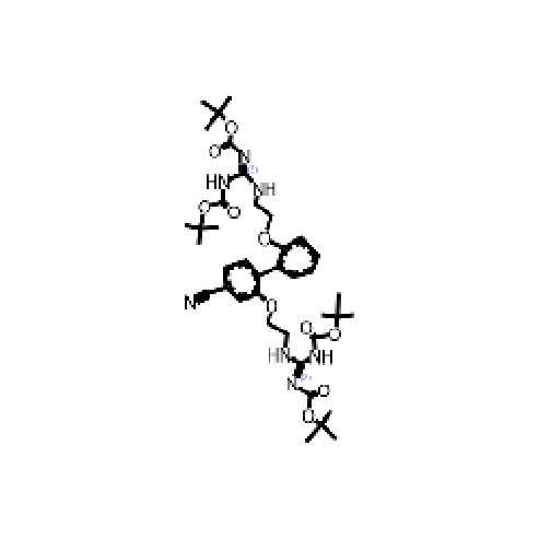 CC(C)(C)OC(=O)/N=C(/NCCOc1ccccc1-c1ccc(C#N)cc1OCCN/C(=N/C(=O)OC(C)(C)C)NC(=O)OC(C)(C)C)NC(=O)OC(C)(C)C